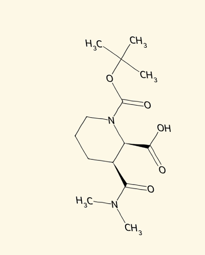 CN(C)C(=O)[C@H]1CCCN(C(=O)OC(C)(C)C)[C@H]1C(=O)O